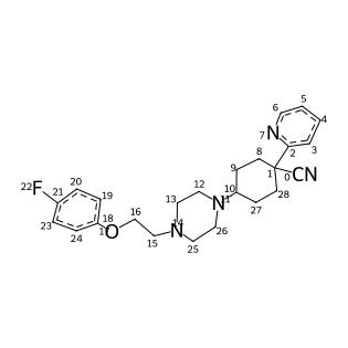 N#CC1(c2ccccn2)CCC(N2CCN(CCOc3ccc(F)cc3)CC2)CC1